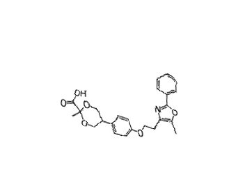 Cc1oc(-c2ccccc2)nc1CCOc1ccc(C2COC(C)(C(=O)O)OC2)cc1